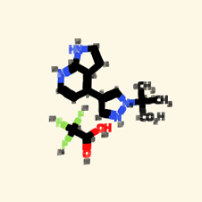 CC(C)(C(=O)O)n1cc(-c2ccnc3[nH]ccc23)cn1.O=C(O)C(F)(F)F